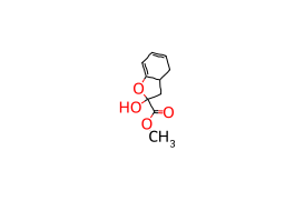 COC(=O)C1(O)CC2CC=CC=C2O1